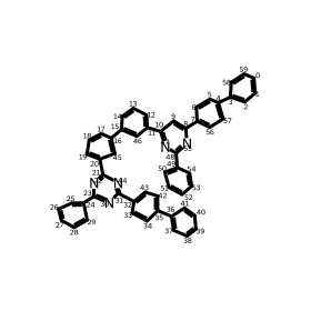 c1ccc(-c2ccc(-c3cc(-c4cccc(-c5cccc(-c6nc(-c7ccccc7)nc(-c7ccc(-c8ccccc8)cc7)n6)c5)c4)nc(-c4ccccc4)n3)cc2)cc1